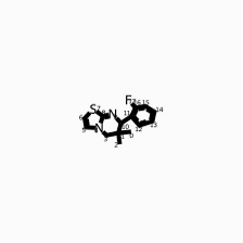 CC1(C)CN2C=CSC2=NC1c1ccccc1F